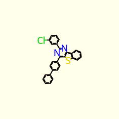 Clc1cccc(-c2nc(-c3ccc(-c4ccccc4)cc3)c3sc4ccccc4c3n2)c1